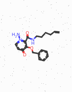 C=CCCCCNC(=O)c1c(OCc2ccccc2)c(=O)ccn1N